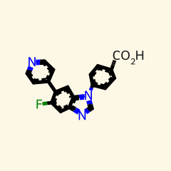 O=C(O)c1ccc(-n2cnc3cc(F)c(-c4ccncc4)cc32)cc1